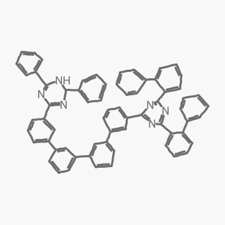 c1ccc(C2=NC(c3cccc(-c4cccc(-c5cccc(-c6cccc(-c7nc(-c8ccccc8-c8ccccc8)nc(-c8ccccc8-c8ccccc8)n7)c6)c5)c4)c3)=NC(c3ccccc3)N2)cc1